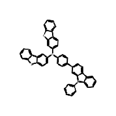 c1ccc(-n2c3ccccc3c3ccc(-c4ccc(N(c5ccc6c(c5)sc5ccccc56)c5ccc6sc7ccccc7c6c5)cc4)cc32)cc1